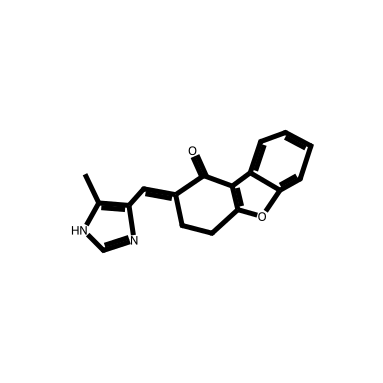 Cc1[nH]cnc1/C=C1\CCc2oc3ccccc3c2C1=O